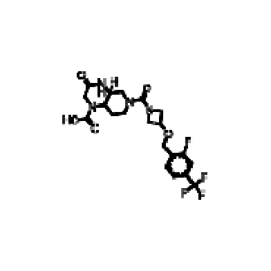 O=C1CN(C(=O)O)C2CCN(C(=O)N3CC(OCc4ccc(C(F)(F)F)cc4F)C3)C[C@H]2N1